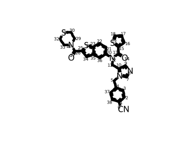 N#Cc1ccc(Cn2cncc2CN(C(=O)c2cccs2)c2ccc3sc(C(=O)N4CCSCC4)cc3c2)cc1